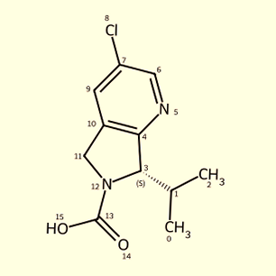 CC(C)[C@H]1c2ncc(Cl)cc2CN1C(=O)O